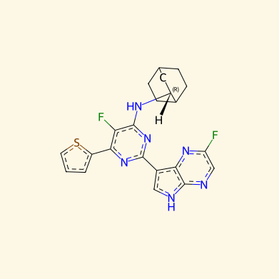 Fc1cnc2[nH]cc(-c3nc(N[C@@H]4CC5CCC4CC5)c(F)c(-c4cccs4)n3)c2n1